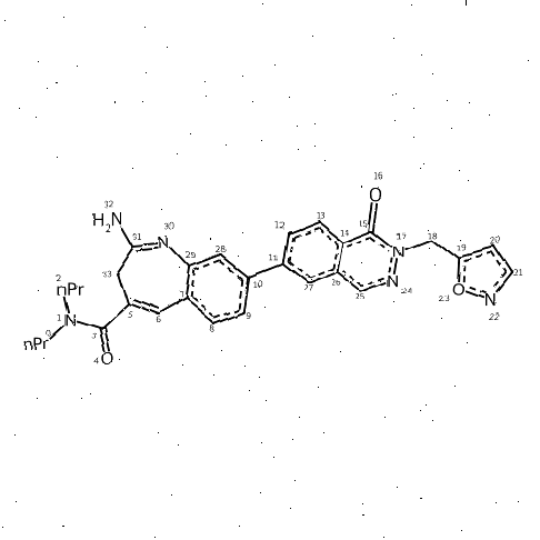 CCCN(CCC)C(=O)C1=Cc2ccc(-c3ccc4c(=O)n(Cc5ccno5)ncc4c3)cc2N=C(N)C1